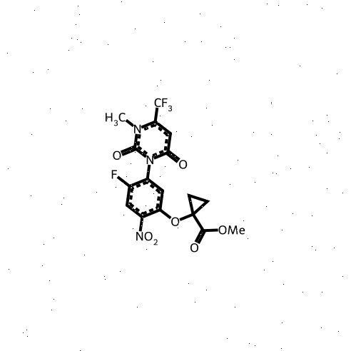 COC(=O)C1(Oc2cc(-n3c(=O)cc(C(F)(F)F)n(C)c3=O)c(F)cc2[N+](=O)[O-])CC1